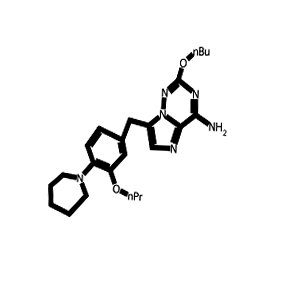 CCCCOc1nc(N)c2ncc(Cc3ccc(N4CCCCC4)c(OCCC)c3)n2n1